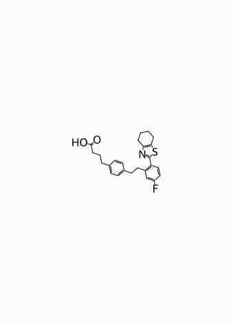 O=C(O)CCCc1ccc(CCc2cc(F)ccc2-c2nc3c(s2)CCCC3)cc1